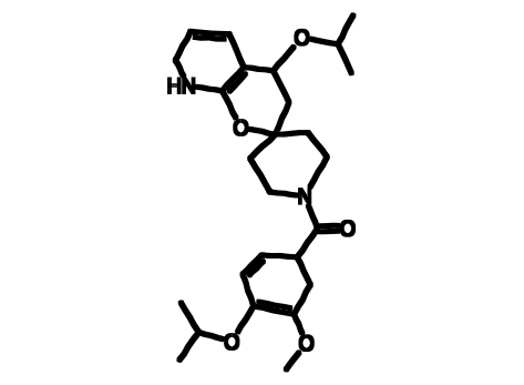 COC1=C(OC(C)C)C=CC(C(=O)N2CCC3(CC2)CC(OC(C)C)C2=C(NCC=C2)O3)C1